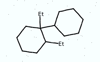 CCC1CCCCC1(CC)C1CCCCC1